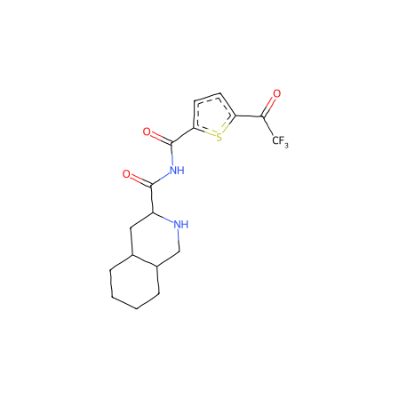 O=C(NC(=O)C1CC2CCCCC2CN1)c1ccc(C(=O)C(F)(F)F)s1